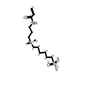 C=CC(=O)NCCC[N+](C)(C)CCCCCCS(=O)(=O)[O-]